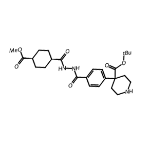 COC(=O)[C@H]1CC[C@@H](C(=O)NNC(=O)c2ccc(C3(C(=O)OC(C)(C)C)CCNCC3)cc2)CC1